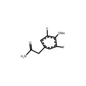 COc1c(F)cc(CC(N)=O)cc1F